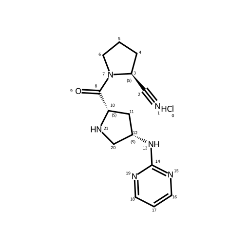 Cl.N#C[C@@H]1CCCN1C(=O)[C@@H]1C[C@H](Nc2ncccn2)CN1